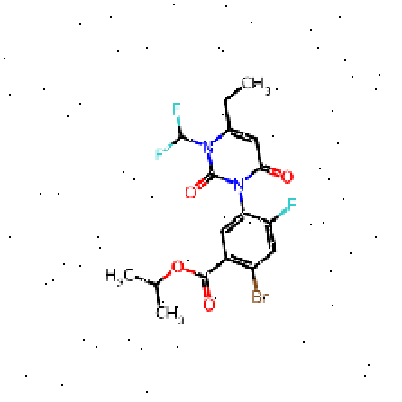 CCc1cc(=O)n(-c2cc(C(=O)OC(C)C)c(Br)cc2F)c(=O)n1C(F)F